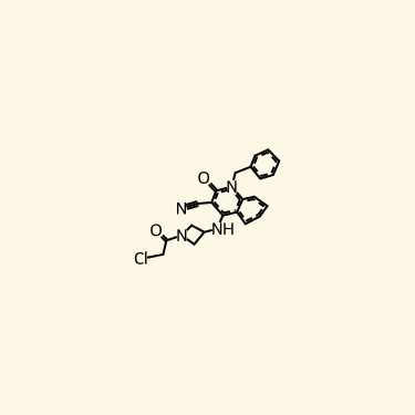 N#Cc1c(NC2CN(C(=O)CCl)C2)c2ccccc2n(Cc2ccccc2)c1=O